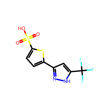 O=S(=O)(O)c1ccc(-c2cc(C(F)(F)F)[nH]n2)s1